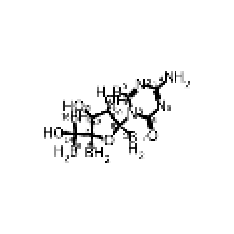 Bc1nc(N)nc(=O)n1[C@]1(B)O[C@](B)(C(B)(B)O)C(O)C1O